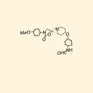 COc1ccc(N2C[C@H](CN3CCC(Oc4ccc(NC=O)cc4)CC3)OC2=O)cc1